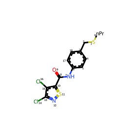 CCCSCc1ccc(NC(=O)c2snc(Cl)c2Cl)cc1